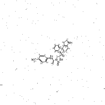 Cc1ccc(NC(=O)N2CC(S(=O)(=O)c3ccc4c(c3-c3ccccc3)CCN4)NC2=O)cc1